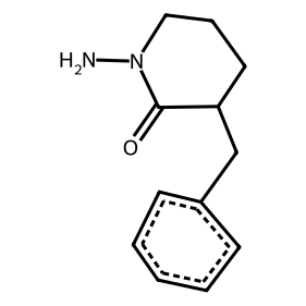 NN1CCCC(Cc2ccccc2)C1=O